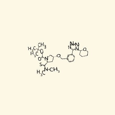 CN(C)C(=S)[C@@H]1C[C@@H](OCc2cccc(-c3nnnn3C3CCCCO3)c2)CN1C(=O)OC(C)(C)C